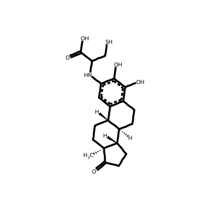 C[C@]12CC[C@@H]3c4cc(NC(CS)C(=O)O)c(O)c(O)c4CC[C@H]3[C@@H]1CCC2=O